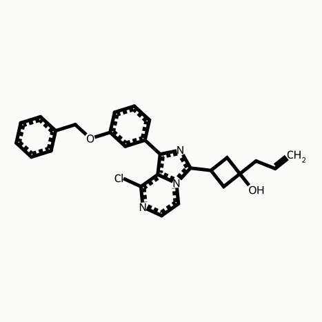 C=CCC1(O)CC(c2nc(-c3cccc(OCc4ccccc4)c3)c3c(Cl)nccn23)C1